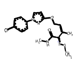 CNC(=O)/C(=N/OC)C(C)=CCOc1ccn(-c2ccc(Cl)cc2)n1